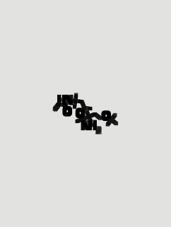 C=CC(=O)NC(C)(C)CC(C)OC(C)(N)C(C)(C)CCOC(C)(C)C